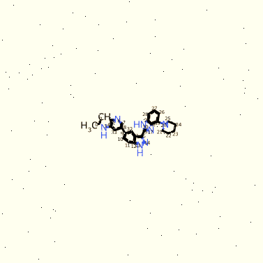 CC(C)Nc1cncc(-c2ccc3[nH]nc(-c4nc5c(N6CCCCC6)cccc5[nH]4)c3c2)c1